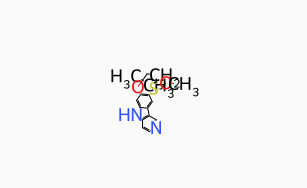 [CH2]CC(C)(C)Oc1cc2[nH]c3ccncc3c2cc1SCOC